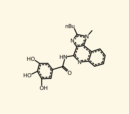 CCCCc1nc2c(NC(=O)c3cc(O)c(O)c(O)c3)nc3ccccc3c2n1C